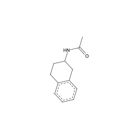 CC(=O)NC1CCc2[c]cccc2C1